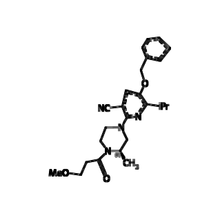 COCCC(=O)N1CCN(c2nc(C(C)C)c(OCc3ccccc3)cc2C#N)C[C@H]1C